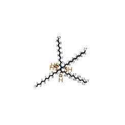 CCCCCCCCCCCC(S)C(=C(C(S)CCCCCCCCCCC)C(S)CCCCCCCCCCC)C(S)CCCCCCCCCCC